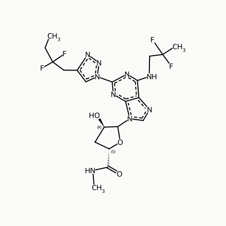 CCC(F)(F)Cc1cn(-c2nc(NCC(C)(F)F)c3ncn(C4O[C@H](C(=O)NC)C[C@H]4O)c3n2)nn1